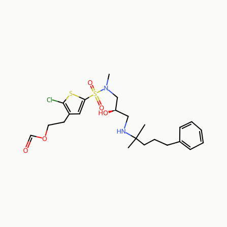 CN(C[C@H](O)CNC(C)(C)CCCc1ccccc1)S(=O)(=O)c1cc(CCOC=O)c(Cl)s1